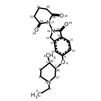 CCN1CC[C@@H](C)[C@@H](Oc2ccc3c(c2)CN(N2C(=O)CCCC2=O)C3=O)C1